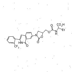 CCC(NC(=O)OCC1CN(c2ccc3cc(-c4ccccc4C(F)(F)F)[nH]c(=O)c3c2)C(=O)O1)C(=O)O